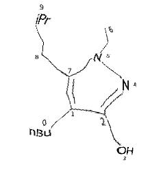 CCCCc1c(O)nn(C)c1CC(C)C